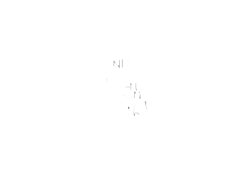 c1cnc2cc(C3CNCCO3)nn2c1